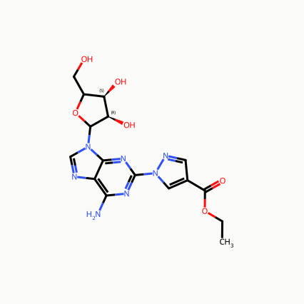 CCOC(=O)c1cnn(-c2nc(N)c3ncn(C4OC(CO)[C@@H](O)[C@H]4O)c3n2)c1